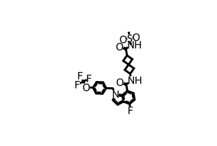 CS(=O)(=O)NC(=O)C1CC2(CC(NC(=O)c3ccc(F)c4ccn(Cc5ccc(OC(F)(F)F)cc5)c34)C2)C1